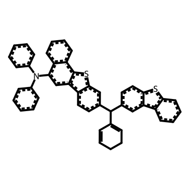 C1=CC(C(c2ccc3c(c2)sc2c4ccccc4c(N(c4ccccc4)c4ccccc4)cc32)c2ccc3sc4ccccc4c3c2)=CCC1